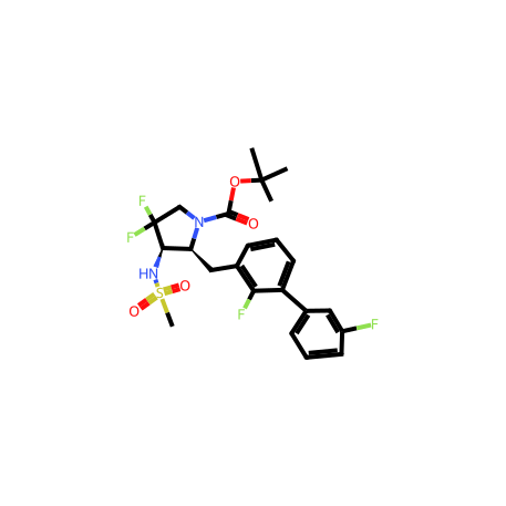 CC(C)(C)OC(=O)N1CC(F)(F)[C@H](NS(C)(=O)=O)[C@@H]1Cc1cccc(-c2cccc(F)c2)c1F